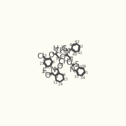 C#CC(C)Oc1cc(N2C(=O)C3=C(CCCC3)C2=O)c(F)cc1Cl.CN(C(=O)COc1nc2ccccc2s1)c1ccccc1